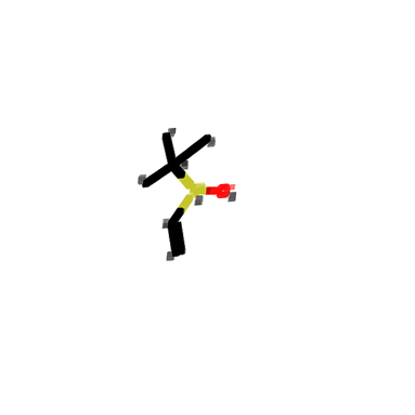 C=C[S+]([O-])C(C)(C)C